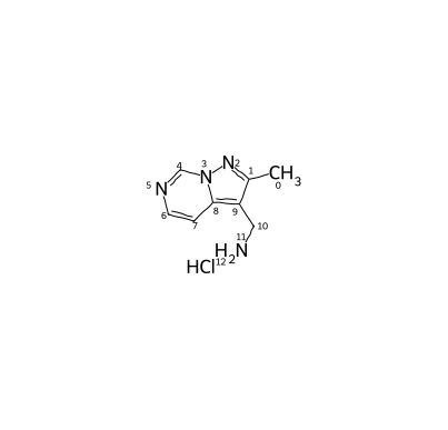 Cc1nn2cnccc2c1CN.Cl